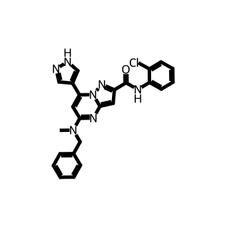 CN(Cc1ccccc1)c1cc(-c2cn[nH]c2)n2nc(C(=O)Nc3ccccc3Cl)cc2n1